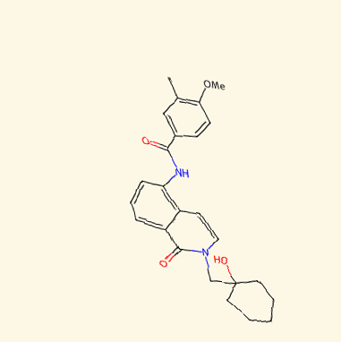 COc1ccc(C(=O)Nc2cccc3c(=O)n(CC4(O)CCCCC4)ccc23)cc1C